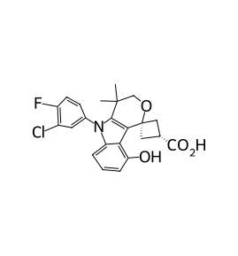 CC1(C)CO[C@]2(C[C@@H](C(=O)O)C2)c2c1n(-c1ccc(F)c(Cl)c1)c1cccc(O)c12